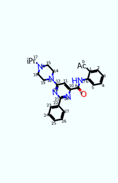 CC(=O)c1ccccc1NC(=O)c1cc(N2CCN(C(C)C)CC2)nc(-c2ccccc2)n1